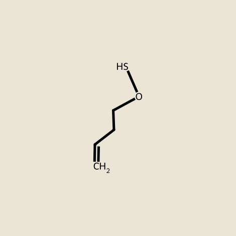 C=CCCOS